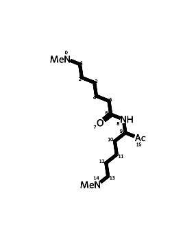 CNCCCCCC(=O)NC(CCCCNC)C(C)=O